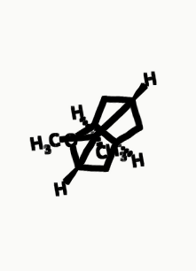 C[C@H]1[C@H]2C[C@H]3C[C@@H]1O[C@@]3(C)C2